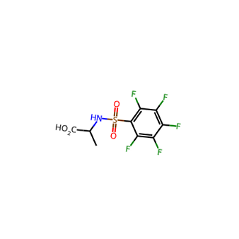 CC(NS(=O)(=O)c1c(F)c(F)c(F)c(F)c1F)C(=O)O